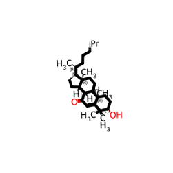 CC(C)CCC[C@@H](C)[C@H]1CC[C@H]2[C@@H]3C(=O)C=C4C(C)(C)[C@@H](O)CC[C@]4(C)[C@H]3CC[C@]12C